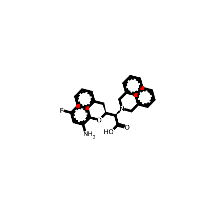 Nc1cc(F)ccc1O[C@@H](Cc1ccccc1)[C@H](C(=O)O)N(Cc1ccccc1)Cc1ccccc1